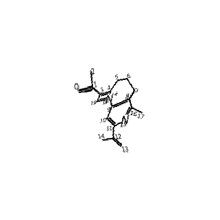 C=C(C)C1=C2CCCc3c(cc(C(=C)C)nc3C)[N+]2=C1